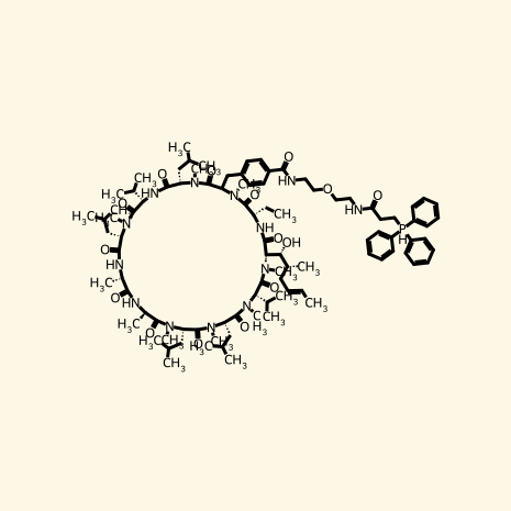 C/C=C/C[C@@H](C)[C@@H](O)[C@H]1C(=O)N[C@@H](CC)C(=O)N(C)C(Cc2ccc(C(=O)NCCOCCNC(=O)CC[PH](c3ccccc3)(c3ccccc3)c3ccccc3)cc2)C(=O)N(C)[C@@H](CC(C)C)C(=O)N[C@@H](C(C)C)C(=O)N(C)[C@@H](CC(C)C)C(=O)N[C@@H](C)C(=O)N[C@H](C)C(=O)N(C)[C@@H](CC(C)C)C(=O)N(C)[C@@H](CC(C)C)C(=O)N(C)[C@@H](C(C)C)C(=O)N1C